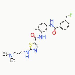 CCN(CC)CCCNc1ncc(C(=O)Nc2cc(NC(=O)c3cccc(CF)c3)ccc2C)s1